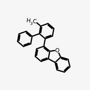 Cc1cccc(-c2cccc3c2oc2ccccc23)c1-c1ccccc1